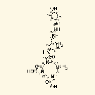 CN1CCN(CC(=O)O)CCN(CC(=O)O)CCN(CC(=O)NC(/C=N\N)C/C=N/NCN/N=C/c2ccc(O)cc2)CC1